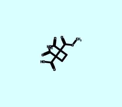 COC(=O)C1(C(=O)O)CCC1(C(=O)O)C(=O)O